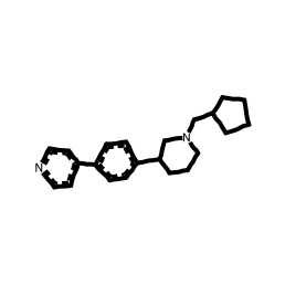 c1cc(-c2ccc(C3CCCN(CC4CCCC4)C3)cc2)ccn1